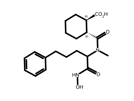 CN(C(=O)[C@@H]1CCCC[C@H]1C(=O)O)C(CCCc1ccccc1)C(=O)NO